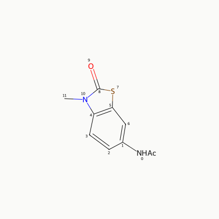 CC(=O)Nc1ccc2c(c1)sc(=O)n2C